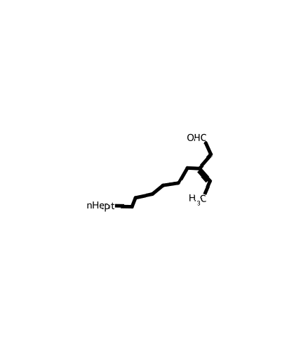 CC=C(CC=O)CCCCCCCCCCCCC